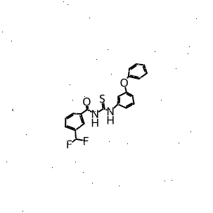 O=C(NC(=S)Nc1cccc(Oc2ccccc2)c1)c1cccc(C(F)F)c1